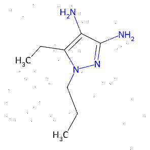 CCCn1nc(N)c(N)c1CC